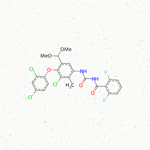 COC(OC)c1cc(NC(=O)NC(=O)c2c(F)cccc2F)c(C)c(Cl)c1Oc1ccc(Cl)cc1Cl